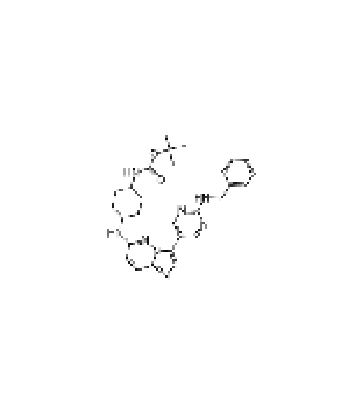 CC(C)(C)OC(=O)NC1CCC(Nc2ccc3ncc(-c4cnc(NCc5ccccc5)nc4)n3n2)CC1